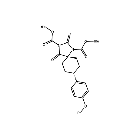 CCOc1ccc([C@H]2CC[C@@]3(CC2)C(=O)N(C(=O)OC(C)(C)C)C(=O)N3C(=O)OC(C)(C)C)cc1